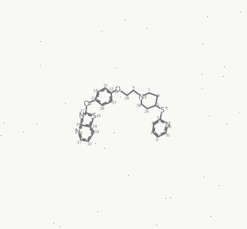 c1ccc(SC2CCN(CCOc3ccc(Oc4nc5ncccc5s4)cc3)CC2)nc1